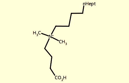 CCCCCCCCCCC[N+](C)(C)CCCC(=O)O